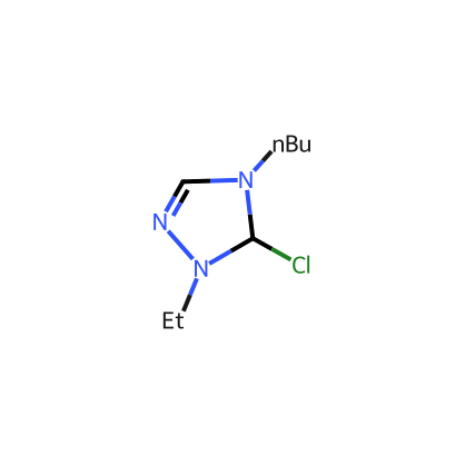 CCCCN1C=NN(CC)C1Cl